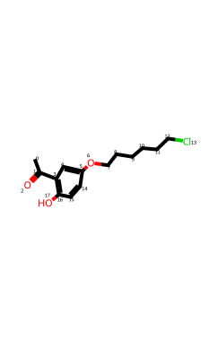 CC(=O)c1cc(OCCCCCCCl)ccc1O